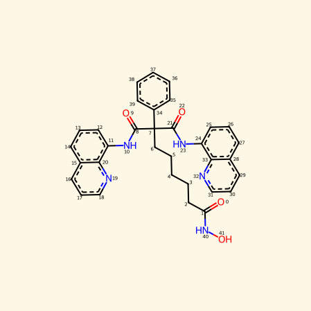 O=C(CCCCCC(C(=O)Nc1cccc2cccnc12)(C(=O)Nc1cccc2cccnc12)c1ccccc1)NO